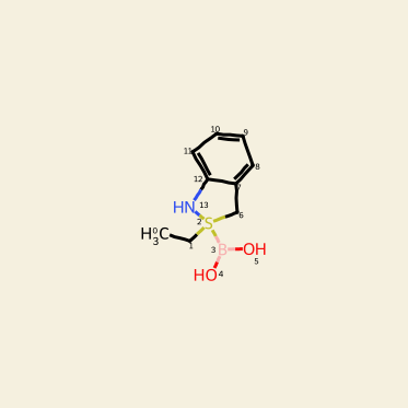 CCS1(B(O)O)Cc2ccccc2N1